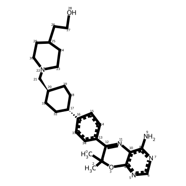 CC1(C)Oc2ncnc(N)c2N=C1c1ccc([C@H]2CC[C@H](CN3CCC(CCO)CC3)CC2)cc1